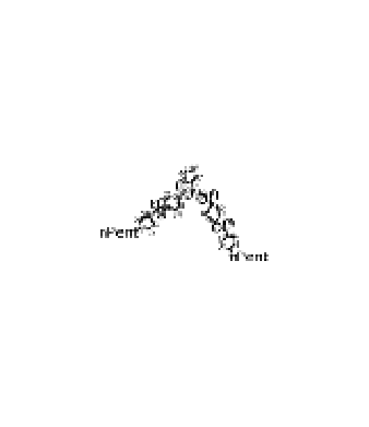 CCCCCc1ccc(C(=O)Oc2ccc(C(=O)OCC(OC(=O)c3ccc(OC(=O)c4ccc(CCCCC)cc4)cc3)c3ccccc3)cc2)cc1